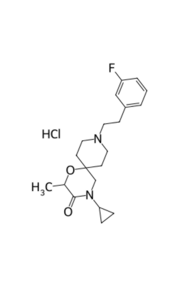 CC1OC2(CCN(CCc3cccc(F)c3)CC2)CN(C2CC2)C1=O.Cl